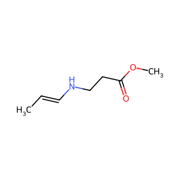 CC=CNCCC(=O)OC